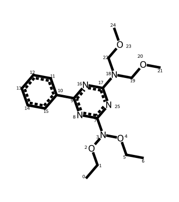 CCON(OCC)c1nc(-c2ccccc2)nc(N(COC)COC)n1